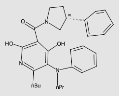 CCCCc1nc(O)c(C(=O)N2CC[C@H](c3ccccc3)C2)c(O)c1N(CCC)c1ccccc1